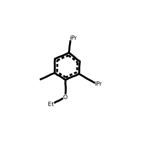 CCOc1c(C)cc(C(C)C)cc1C(C)C